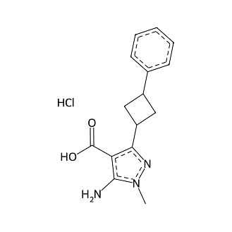 Cl.Cn1nc(C2CC(c3ccccc3)C2)c(C(=O)O)c1N